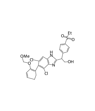 CCS(=O)(=O)c1ccc(C(CO)c2nc3c(Cl)c(C4=C(OCOC)C=CCC4)c(Cl)cc3[nH]2)cc1